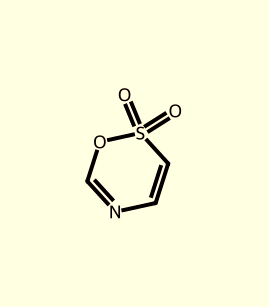 O=S1(=O)C=CN=CO1